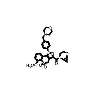 COc1cccc2c1S(=O)(=O)Cc1c(C(=O)N3CCOC4CC43)nn(-c3ccc(CN4CCOCC4)cc3)c1-2